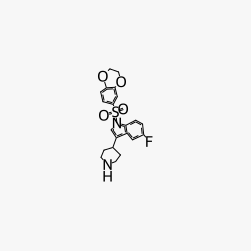 O=S(=O)(c1ccc2c(c1)OCCO2)n1cc(C2CCNCC2)c2cc(F)ccc21